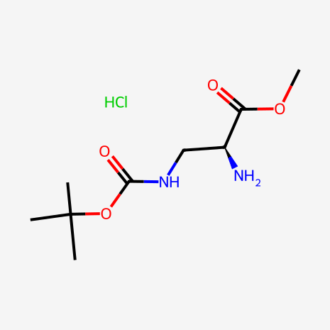 COC(=O)[C@@H](N)CNC(=O)OC(C)(C)C.Cl